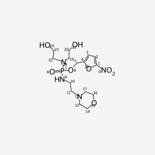 O=[N+]([O-])c1ccc(COP(=O)(NCCN2CCOCC2)N(CCO)CCO)o1